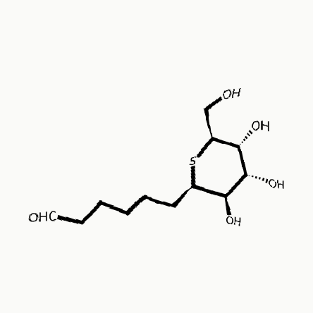 O=CCCCCC[C@H]1S[C@@H](CO)[C@H](O)[C@H](O)[C@H]1O